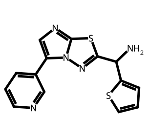 NC(c1cccs1)c1nn2c(-c3cccnc3)cnc2s1